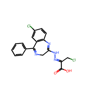 O=C(O)C(CCl)=NNC1=Nc2ccc(Cl)cc2C(c2ccccc2)=NC1